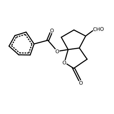 O=CC1CCC2(OC(=O)c3ccccc3)OC(=O)CC12